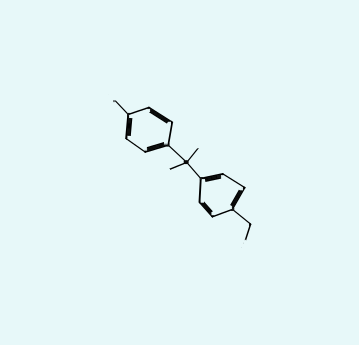 CC(=O)Cc1ccc(C(F)(F)c2ccc(Cl)cc2)cc1